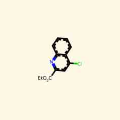 CCOC(=O)c1cc(Cl)c2ccccc2n1